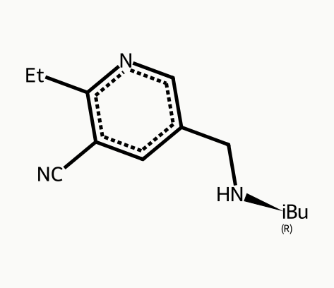 CCc1ncc(CN[C@H](C)CC)cc1C#N